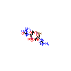 Nc1nc2c(ncn2[C@@H]2O[C@@H]3COP(=S)(S)O[C@H]4C[C@H](n5cnc6c(N)ncnc65)O[C@@H]4COP(=O)(O)O[C@@H]2C3)c(=O)[nH]1